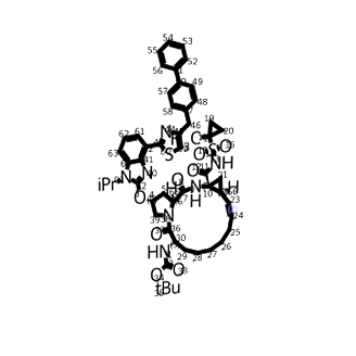 CC(C)n1c(O[C@@H]2C[C@H]3C(=O)N[C@]4(C(=O)NS(=O)(=O)C5(C)CC5)C[C@H]4/C=C\CCCCC[C@H](NC(=O)OC(C)(C)C)C(=O)N3C2)nc2c(-c3nc(Cc4ccc(-c5ccccc5)cc4)cs3)cccc21